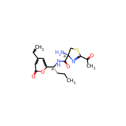 C=Cc1cc([C@@H](CCC)NC(=O)[C@]2(N)CSC(C(C)=O)=N2)oc(=O)c1